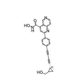 O=C(NO)c1cc(-c2ccc(C#CC#C[C@@H]3CC3CO)cc2)nc2ccncc12